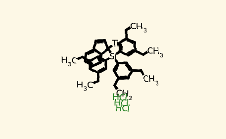 CCc1cc(CC)cc([Si](c2cc(CC)cc(CC)c2)(c2cc(CC)cc(CC)c2)[C]2([Ti])C=Cc3ccccc32)c1.Cl.Cl.Cl